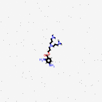 CN(C)CCCN(CCCOC(=O)c1ccc(N)cc1N)CCCN(C)C